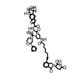 CC(C)(C)[C@H](NC(=O)c1cc2cc(C(F)(F)P(=O)(O)O)ccc2s1)C(=O)N1C[C@@H](NC(=O)CCCCCC#Cc2cccc3c2CN(C2CCC(=O)NC2=O)C3=O)C[C@H]1C(=O)N1CCO[C@H](c2ccccc2)C1